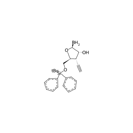 B[C@@H]1O[C@H](CO[Si](c2ccccc2)(c2ccccc2)C(C)(C)C)[C@@H](C#C)[C@H]1O